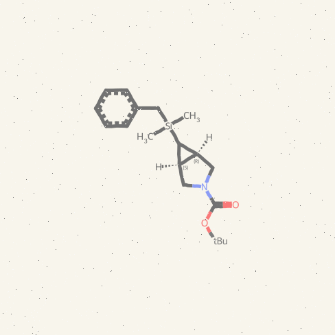 CC(C)(C)OC(=O)N1C[C@@H]2C([Si](C)(C)Cc3ccccc3)[C@@H]2C1